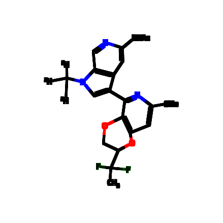 [2H]C([2H])([2H])n1cc(-c2nc(SC)cc3c2OCC(C(C)(F)F)O3)c2cc(NC(C)=O)ncc21